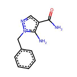 NC(=O)c1cnn(Cc2ccccc2)c1N